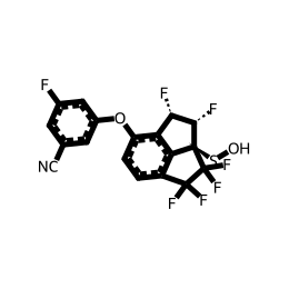 N#Cc1cc(F)cc(Oc2ccc3c4c2[C@H](F)[C@H](F)[C@]4(SO)C(F)(F)C3(F)F)c1